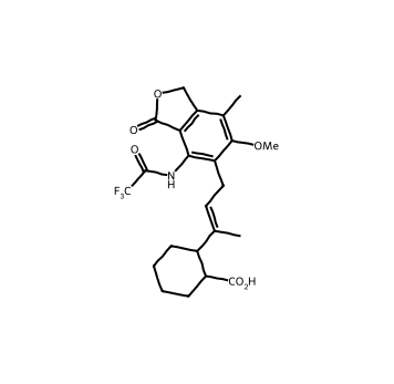 COc1c(C)c2c(c(NC(=O)C(F)(F)F)c1C/C=C(\C)C1CCCCC1C(=O)O)C(=O)OC2